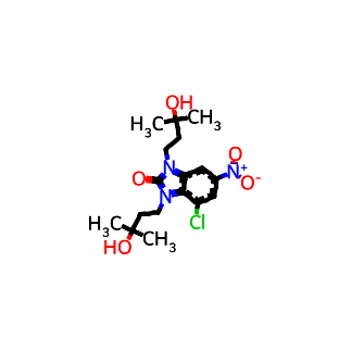 CC(C)(O)CCn1c(=O)n(CCC(C)(C)O)c2c(Cl)cc([N+](=O)[O-])cc21